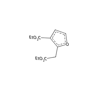 CCOC(=O)Cc1occc1C(=O)OCC